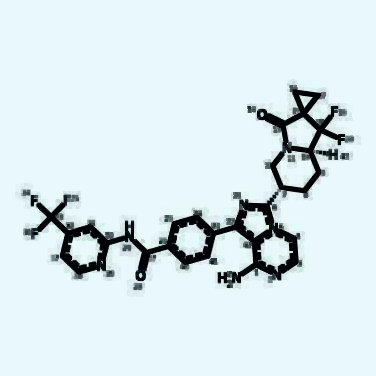 Nc1nccn2c([C@H]3CC[C@H]4N(C3)C(=O)C3(CC3)C4(F)F)nc(-c3ccc(C(=O)Nc4cc(C(F)(F)F)ccn4)cc3)c12